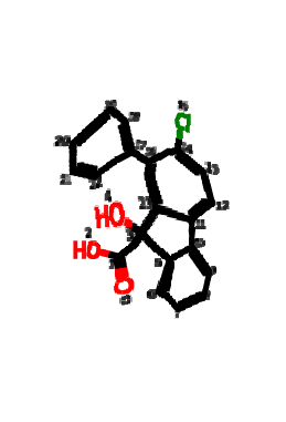 O=C(O)C1(O)c2ccccc2-c2ccc(Cl)c(-c3ccccc3)c21